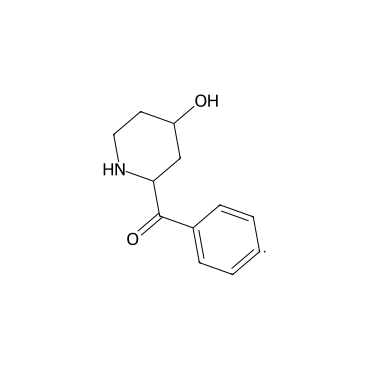 O=C(c1cc[c]cc1)C1CC(O)CCN1